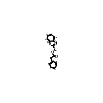 O=C(Cc1ccccc1)OSc1nc2ccccc2s1